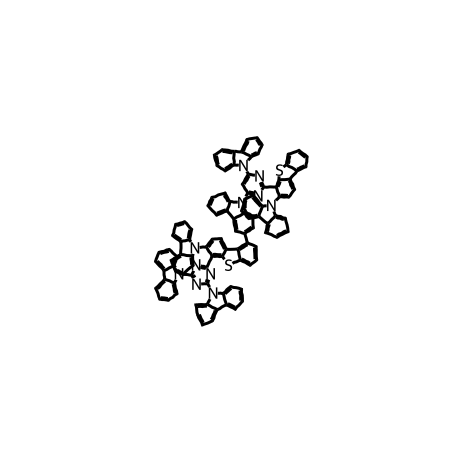 c1ccc2c(c1)sc1c(-c3nc(-n4c5ccccc5c5ccccc54)cc(-n4c5ccccc5c5cc(-c6cccc7sc8c(-c9nc(-n%10c%11ccccc%11c%11ccccc%11%10)nc(-n%10c%11ccccc%11c%11ccccc%11%10)n9)c(-n9c%10ccccc%10c%10ccccc%109)ccc8c67)ccc54)n3)c(-n3c4ccccc4c4ccccc43)ccc12